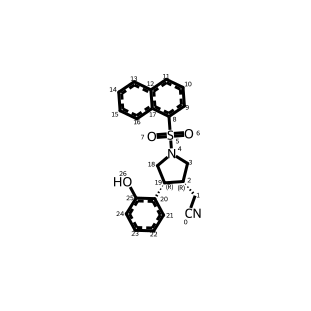 N#CC[C@H]1CN(S(=O)(=O)c2cccc3ccccc23)C[C@H]1c1ccccc1O